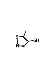 Cc1sncc1S